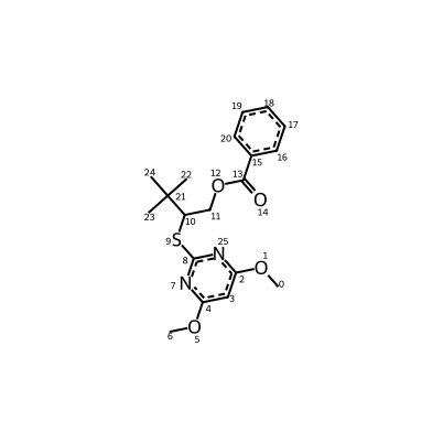 COc1cc(OC)nc(SC(COC(=O)c2ccccc2)C(C)(C)C)n1